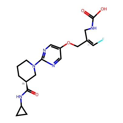 O=C(O)NC/C(=C\F)COc1cnc(N2CCC[C@H](C(=O)NC3CC3)C2)nc1